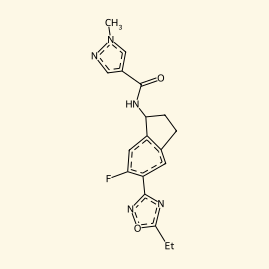 CCc1nc(-c2cc3c(cc2F)C(NC(=O)c2cnn(C)c2)CC3)no1